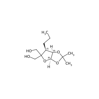 CCC[C@H]1[C@H]2OC(C)(C)O[C@H]2OC1(CO)CO